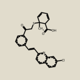 CC1(SCC(=O)c2cccc(/C=C/c3ccc4ccc(Cl)cc4n3)c2)C=CC=CC1C(=O)O